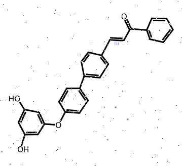 O=C(/C=C/c1ccc(-c2ccc(Oc3cc(O)cc(O)c3)cc2)cc1)c1ccccc1